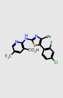 CC(C)c1nc(Nc2ncc(C(F)(F)F)cc2C(=O)O)sc1-c1ccc(Cl)cc1F